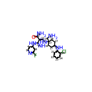 N=C(Nc1ccnc(F)c1)/C(=C\NC1(CN)CCC(Nc2ccccc2Cl)CC1)C(N)=O